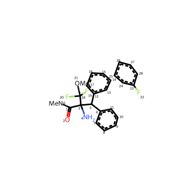 CNC(=O)C(N)(C(c1ccccc1)c1ccccc1)C(F)(F)OC.Fc1ccccc1